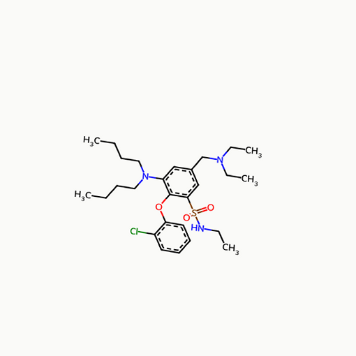 CCCCN(CCCC)c1cc(CN(CC)CC)cc(S(=O)(=O)NCC)c1Oc1ccccc1Cl